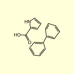 O=C(O)c1ccc[nH]1.c1ccc(-c2ccccc2)cc1